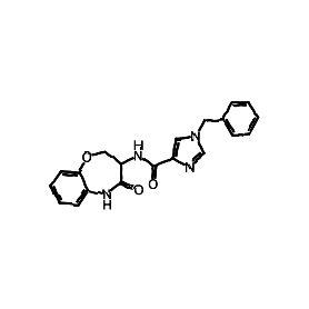 O=C(NC1COc2ccccc2NC1=O)c1cn(Cc2ccccc2)cn1